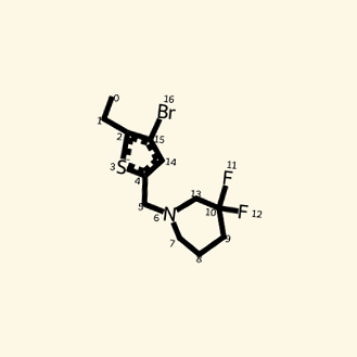 CCc1sc(CN2CCCC(F)(F)C2)cc1Br